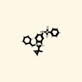 CC1(c2nc3cc(NS(=O)(=O)c4ccccc4)ccc3n2CC2CCCCC2)CC1